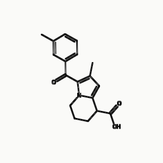 Cc1cccc(C(=O)c2c(C)cc3n2CCCC3C(=O)O)c1